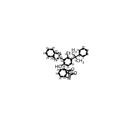 CCc1c(C(C)(C)c2ccccc2)ccc(O)c1-n1nc2ccccc2n1.O=C1c2cccc3c2C(=O)N13